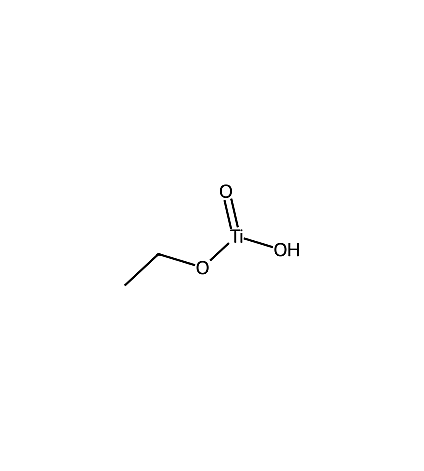 CC[O][Ti](=[O])[OH]